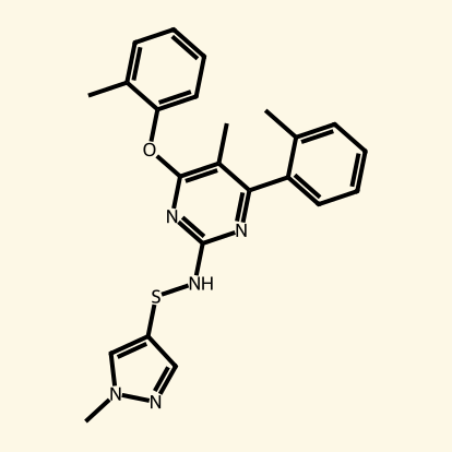 Cc1ccccc1Oc1nc(NSc2cnn(C)c2)nc(-c2ccccc2C)c1C